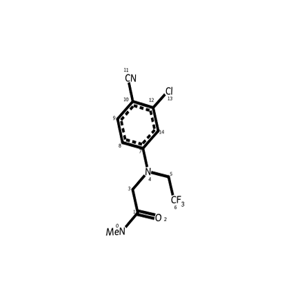 CNC(=O)CN(CC(F)(F)F)c1ccc(C#N)c(Cl)c1